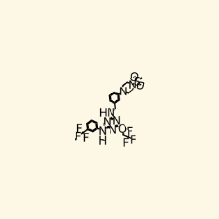 CS(=O)(=O)N1CCN(c2cccc(CNc3nc(Nc4cccc(C(F)(F)F)c4)nc(OCC(F)(F)F)n3)c2)CC1